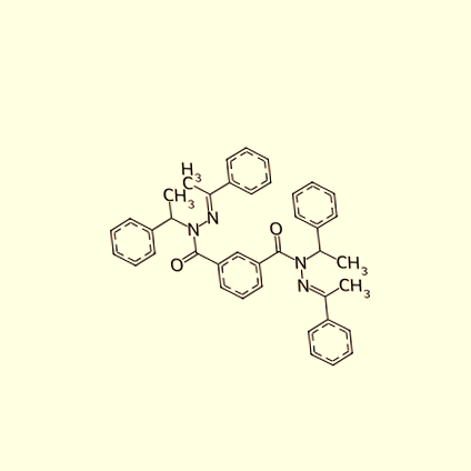 CC(=NN(C(=O)c1cccc(C(=O)N(N=C(C)c2ccccc2)C(C)c2ccccc2)c1)C(C)c1ccccc1)c1ccccc1